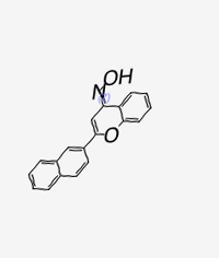 O/N=c1/cc(-c2ccc3ccccc3c2)oc2ccccc12